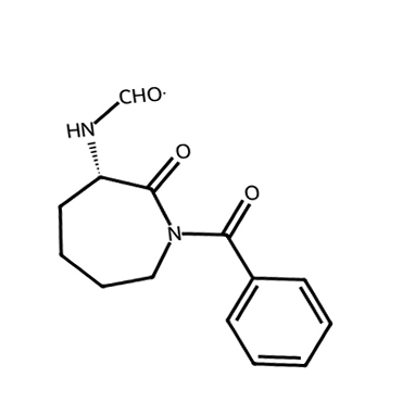 O=[C]N[C@H]1CCCCN(C(=O)c2ccccc2)C1=O